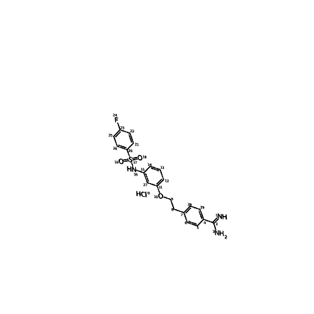 Cl.N=C(N)c1ccc(CCOc2cccc(NS(=O)(=O)c3ccc(F)cc3)c2)cc1